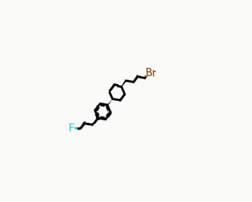 FCCCc1ccc([C@H]2CC[C@H](CCCCBr)CC2)cc1